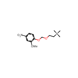 COc1cc([N+](=O)[O-])ccc1OCOCC[Si](C)(C)C